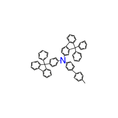 Cc1ccc(-c2ccc(N(c3ccc(C4(c5ccccc5)c5ccccc5-c5ccccc54)cc3)c3ccc4c(c3)C(c3ccccc3)(c3ccccc3)c3ccccc3-4)cc2)cc1